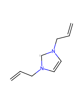 C=CCN1[C]N(CC=C)C=C1